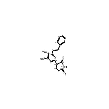 COc1c(/C=C/c2ccccc2)cc(N2CCC(=O)NC2=O)cc1C(C)(C)C